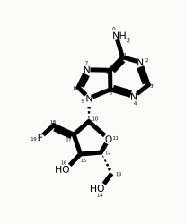 Nc1ncnc2c1ncn2[C@@H]1O[C@H](CO)C(O)/C1=C\F